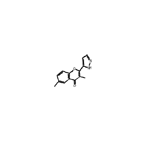 Cc1ccc2oc(-c3ccn[nH]3)c(C)c(=O)c2c1